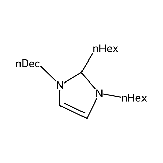 CCCCCCCCCCN1C=CN(CCCCCC)C1CCCCCC